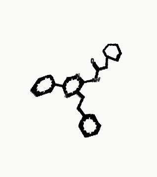 O=C(CC1CCCCC1)Nc1ncc(-c2ccccc2)nc1CCc1ccccc1